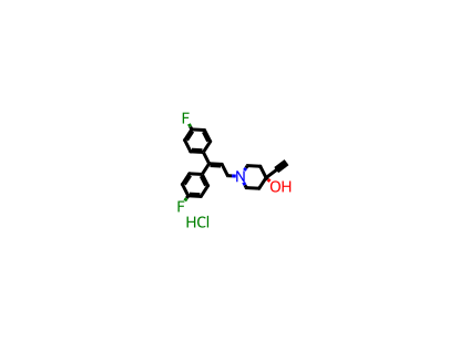 C#CC1(O)CCN(CC=C(c2ccc(F)cc2)c2ccc(F)cc2)CC1.Cl